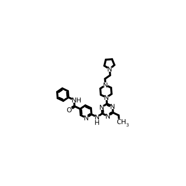 CCc1nc(Nc2ccc(C(=O)Nc3ccccc3)cn2)nc(N2CCN(CCN3CCCC3)CC2)n1